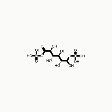 O=C(OP(=O)(O)O)[C@@H](O)[C@@H](O)[C@@H](O)[C@@H](O)C(O)OP(=O)(O)O